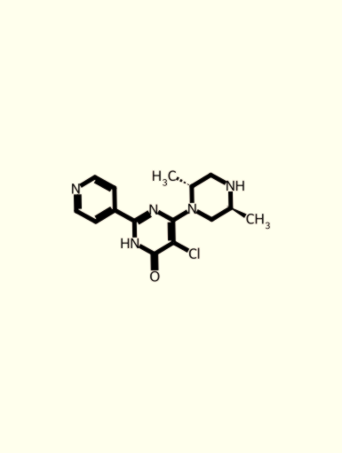 C[C@@H]1CN[C@@H](C)CN1c1nc(-c2ccncc2)[nH]c(=O)c1Cl